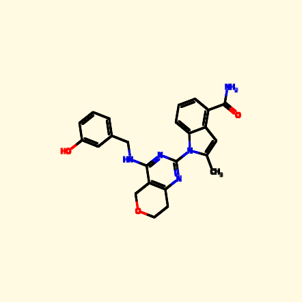 Cc1cc2c(C(N)=O)cccc2n1-c1nc2c(c(NCc3cccc(O)c3)n1)COCC2